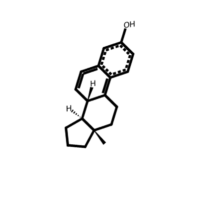 C[C@@]12CCC[C@H]1[C@@H]1C=C=c3cc(O)ccc3=C1CC2